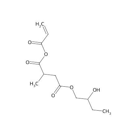 C=CC(=O)OC(=O)C(C)CC(=O)OCC(O)CC